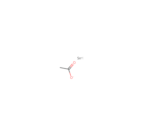 CC(=O)[O-].[Sn+]